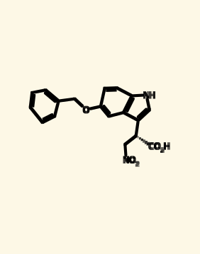 O=C(O)[C@H](C[N+](=O)[O-])c1c[nH]c2ccc(OCc3ccccc3)cc12